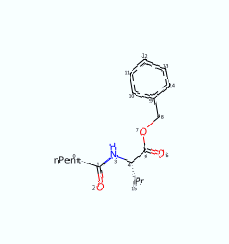 CCCCCC(=O)N[C@H](C(=O)OCc1ccccc1)C(C)C